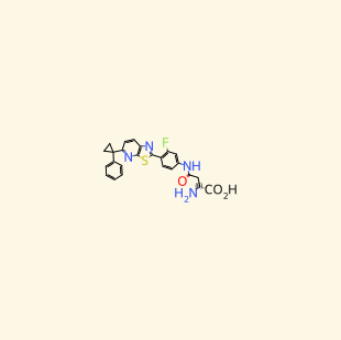 N[C@H](CC(=O)Nc1ccc(-c2nc3ccc(C4(c5ccccc5)CC4)nc3s2)c(F)c1)C(=O)O